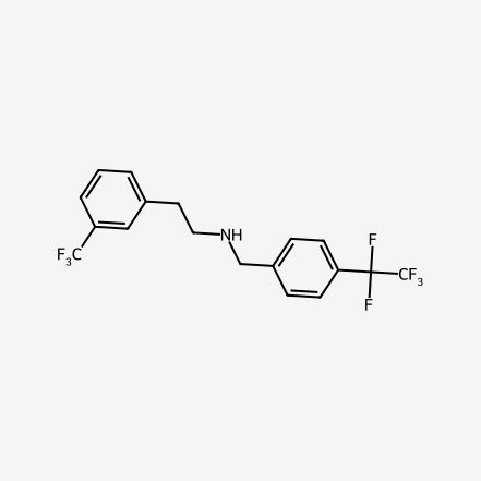 FC(F)(F)c1cccc(CCNCc2ccc(C(F)(F)C(F)(F)F)cc2)c1